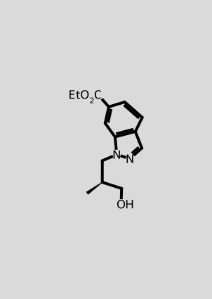 CCOC(=O)c1ccc2cnn(C[C@H](C)CO)c2c1